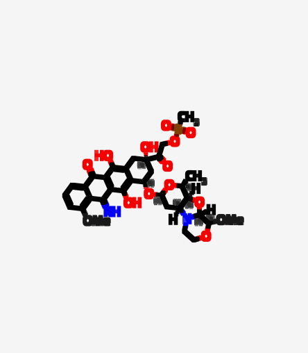 COc1cccc2c1C(=N)c1c(O)c3c(c(O)c1C2=O)C[C@@](O)(C(=O)COS(C)(=O)=O)C[C@@H]3O[C@H]1C[C@H]2[C@H](O[C@@H]3[C@@H](OC)OCCN32)[C@H](C)O1